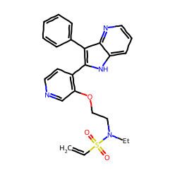 C=CS(=O)(=O)N(CC)CCOc1cnccc1-c1[nH]c2cccnc2c1-c1ccccc1